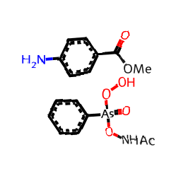 CC(=O)NO[As](=O)(OO)c1ccccc1.COC(=O)c1ccc(N)cc1